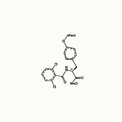 CCCCCOc1ccc(C[C@H](NC(=O)c2c(Cl)cccc2Cl)C(=O)OC)cc1